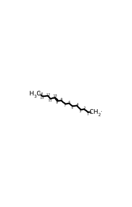 [CH2]CCCCCCCCC=CCCCC